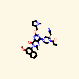 C=CC(=O)N1CCN(c2nc(OCC3CCCN3C)nc3c(=O)n(-c4cc(OC)cc5ccccc45)c(C)nc23)C[C@@H]1CC#N